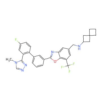 Cn1cnnc1-c1cc(F)ccc1-c1cccc(-c2nc3cc(CNC4CC5(CCC5)C4)cc(C(F)(F)F)c3o2)c1